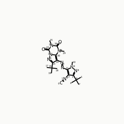 [C-]#[N+]c1c(C(C)(C)C)nn(C)c1/N=N/c1c(C(C)(C)C)nn2c(=O)n(C)c(=O)n(C)c12